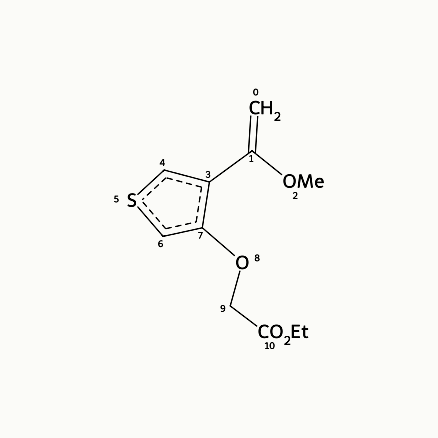 C=C(OC)c1cscc1OCC(=O)OCC